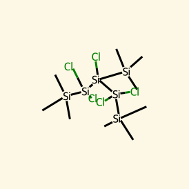 C[Si](C)(C)[Si](Cl)(Cl)[Si](Cl)([Si](C)(C)C)[Si](Cl)(Cl)[Si](C)(C)C